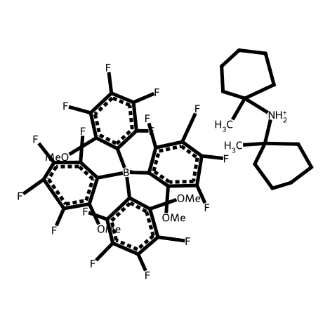 CC1([NH2+]C2(C)CCCCC2)CCCCC1.COc1c(F)c(F)c(F)c(F)c1[B-](c1c(F)c(F)c(F)c(F)c1OC)(c1c(F)c(F)c(F)c(F)c1OC)c1c(F)c(F)c(F)c(F)c1OC